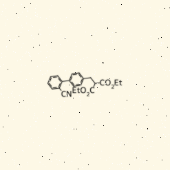 CCOC(=O)C(Cc1ccc(-c2ccccc2C#N)cc1)C(=O)OCC